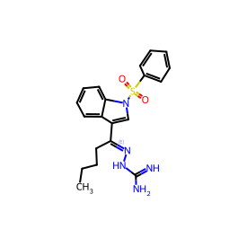 CCCC/C(=N\NC(=N)N)c1cn(S(=O)(=O)c2ccccc2)c2ccccc12